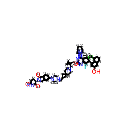 C#Cc1cccc2cc(O)cc(-c3c(Cl)cc4c(N5CC6CCC(C5)N6)nc(OCC5(CN6CCC7(CC6)CC(CN6CCN(c8ccc9c(c8)CN([C@H]8CCC(=O)NC8=O)C9=O)CC6)C7)CC5)nc4c3F)c12